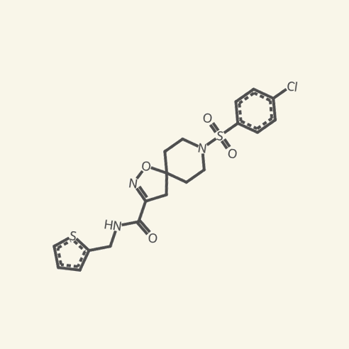 O=C(NCc1cccs1)C1=NOC2(CCN(S(=O)(=O)c3ccc(Cl)cc3)CC2)C1